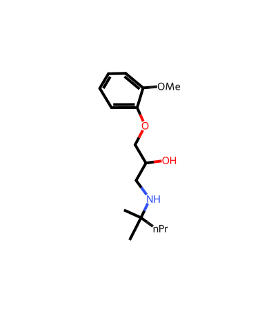 CCCC(C)(C)NCC(O)COc1ccccc1OC